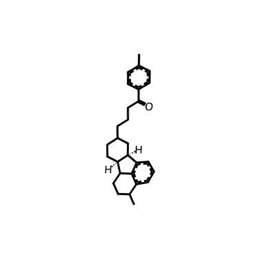 Cc1ccc(C(=O)CCCC2CC[C@@H]3C4CCC(C)c5cccc(c54)[C@@H]3C2)cc1